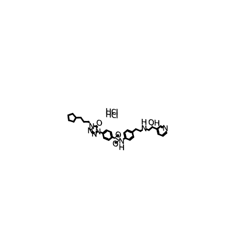 Cl.Cl.O=c1n(CCCC2CCCC2)nnn1-c1ccc(S(=O)(=O)Nc2ccc(CCNC[C@H](O)c3cccnc3)cc2)cc1